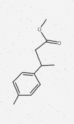 COC(=O)CC(C)c1ccc(C)cc1